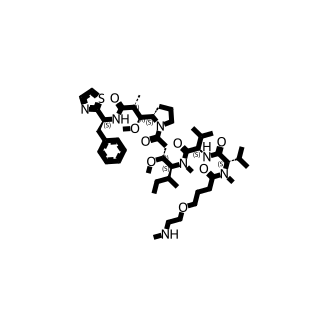 CCC(C)[C@@H]([C@@H](CC(=O)N1CCC[C@H]1[C@H](OC)[C@@H](C)C(=O)N[C@@H](Cc1ccccc1)c1nccs1)OC)N(C)C(=O)[C@@H](NC(=O)[C@H](C(C)C)N(C)C(=O)CCCOCCNC)C(C)C